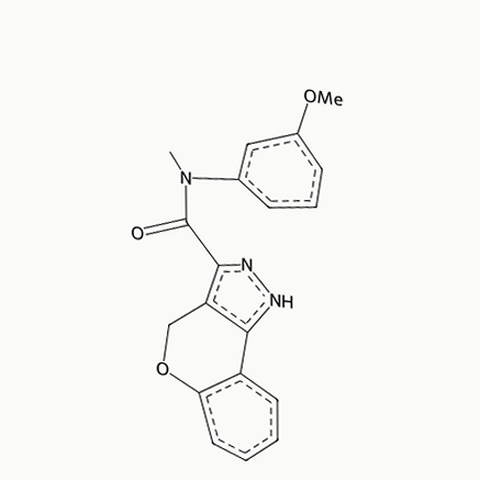 COc1cccc(N(C)C(=O)c2n[nH]c3c2COc2ccccc2-3)c1